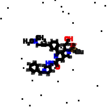 CN(C)CC#Cc1cccc(-c2nc(C(=O)NC3CCN(Cc4ccccc4)C3)cc3c2C(CCO)N([S@+]([O-])C(C)(C)C)C3)c1